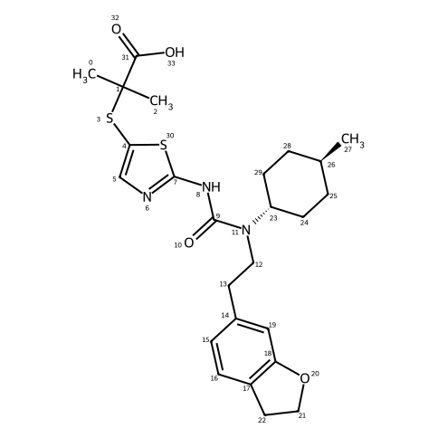 CC(C)(Sc1cnc(NC(=O)N(CCc2ccc3c(c2)OCC3)[C@H]2CC[C@H](C)CC2)s1)C(=O)O